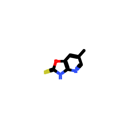 Cc1cnc2[nH]c(=S)oc2c1